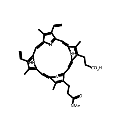 C=CC1=C(C)c2cc3[nH]c(cc4nc(cc5[nH]c(cc1n2)c(C)c5CCC(=O)O)C(CCC(=O)NC)=C4C)c(C)c3C=C